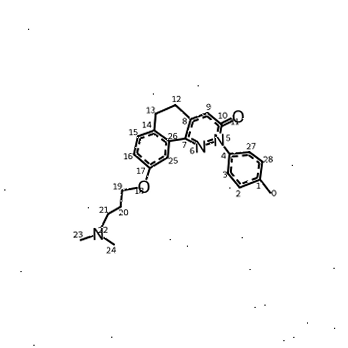 Cc1ccc(-n2nc3c(cc2=O)CCc2ccc(OCCCN(C)C)cc2-3)cc1